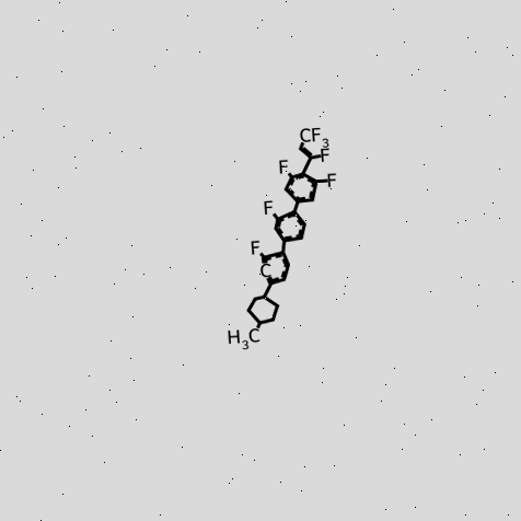 CC1CCC(c2ccc(-c3ccc(-c4cc(F)c(/C(F)=C/C(F)(F)F)c(F)c4)c(F)c3)c(F)c2)CC1